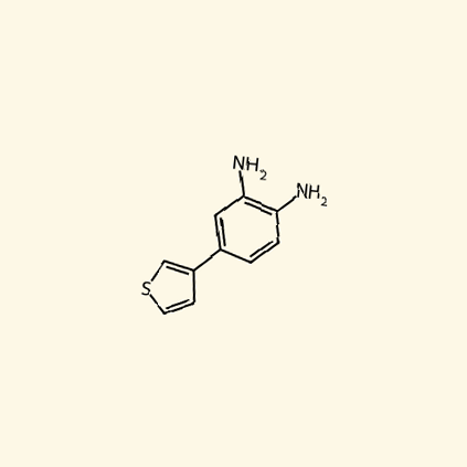 Nc1ccc(-c2ccsc2)cc1N